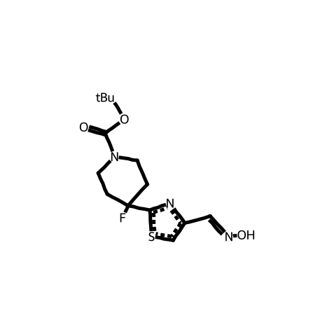 CC(C)(C)OC(=O)N1CCC(F)(c2nc(/C=N/O)cs2)CC1